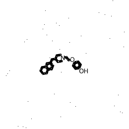 Oc1ccc(OCCN2CCC(Cc3ccc4c(c3)CCCC4)CC2)cc1